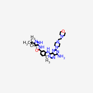 Cc1ccc(C(=O)Nc2cc(C(C)(C)C)n[nH]2)cc1Nc1ncnc2c(N)nc(N3CCN(CCN4CCOCC4)CC3)nc12